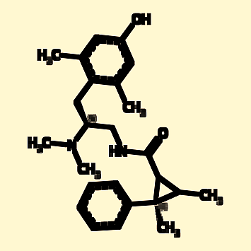 Cc1cc(O)cc(C)c1C[C@@H](CNC(=O)C1C(C)[C@@]1(C)c1ccccc1)N(C)C